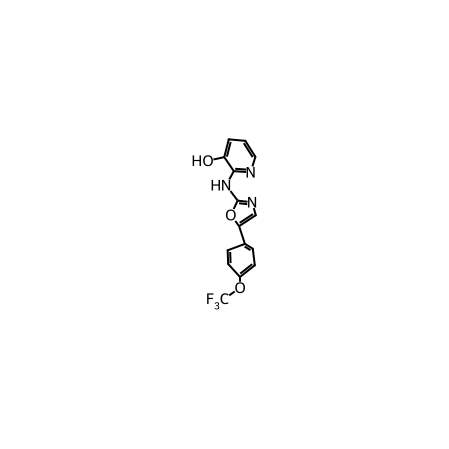 Oc1cccnc1Nc1ncc(-c2ccc(OC(F)(F)F)cc2)o1